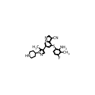 Cc1c(F)ccc(Sc2cc(-c3cnn(C4CCNCC4)c3C)cn3ncc(C#N)c23)c1N